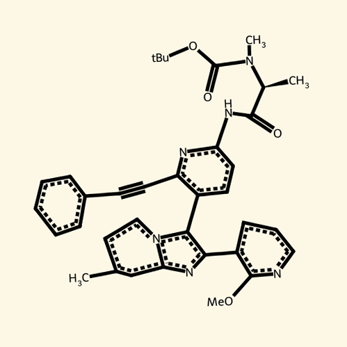 COc1ncccc1-c1nc2cc(C)ccn2c1-c1ccc(NC(=O)[C@H](C)N(C)C(=O)OC(C)(C)C)nc1C#Cc1ccccc1